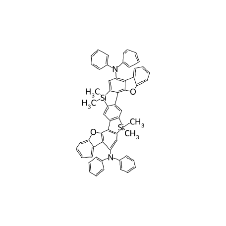 C[Si]1(C)c2cc3c(cc2-c2c1cc(N(c1ccccc1)c1ccccc1)c1c2oc2ccccc21)[Si](C)(C)c1cc(N(c2ccccc2)c2ccccc2)c2c(oc4ccccc42)c1-3